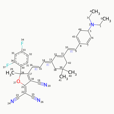 CCN(CC)C1C=CC(/C=C/C2=CC(=C/C=C/C3=C(C#N)C(=C(C#N)C#N)OC3(C)c3ccc(F)cc3F)/CC(C)(C)C2)=CC1